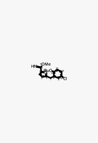 COC(=N)c1ccc(Cc2cc(Cl)ccc2OCC(C)C)o1